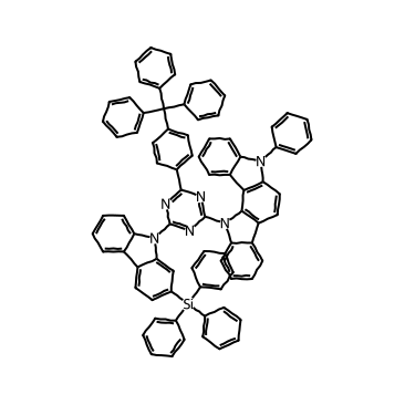 c1ccc(-n2c3ccccc3c3c2ccc2c4ccccc4n(-c4nc(-c5ccc(C(c6ccccc6)(c6ccccc6)c6ccccc6)cc5)nc(-n5c6ccccc6c6ccc([Si](c7ccccc7)(c7ccccc7)c7ccccc7)cc65)n4)c23)cc1